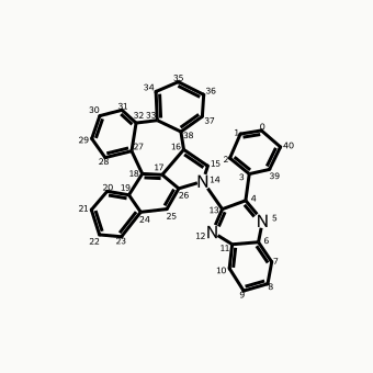 c1ccc(-c2nc3ccccc3nc2-n2cc3c4c(c5ccccc5cc42)-c2ccccc2-c2ccccc2-3)cc1